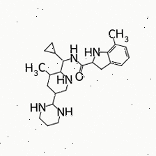 Cc1cccc2c1NC(C(=O)NC(C1CC1)C1NCC(C3NCCCN3)CC1C)C2